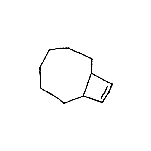 C1=CC2CCCCCCC12